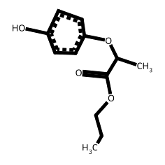 CCCOC(=O)C(C)Oc1ccc(O)cc1